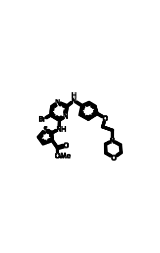 COC(=O)c1ccsc1Nc1nc(Nc2ccc(OCCN3CCOCC3)cc2)ncc1Br